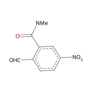 CNC(=O)c1cc([N+](=O)[O-])ccc1C=O